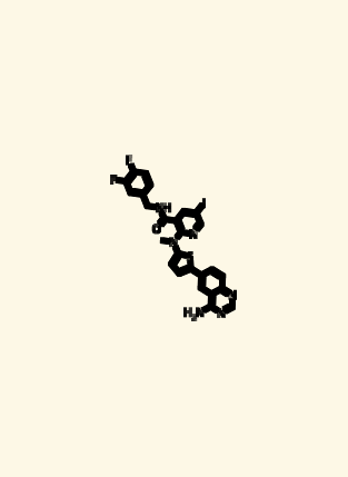 CN(c1ccc(-c2ccc3ncnc(N)c3c2)s1)c1ncc(I)cc1C(=O)NCc1ccc(F)c(F)c1